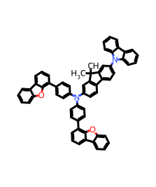 CC1(C)c2cc(N(c3ccc(-c4cccc5c4oc4ccccc45)cc3)c3ccc(-c4cccc5c4oc4ccccc45)cc3)ccc2-c2ccc(-n3c4ccccc4c4ccccc43)cc21